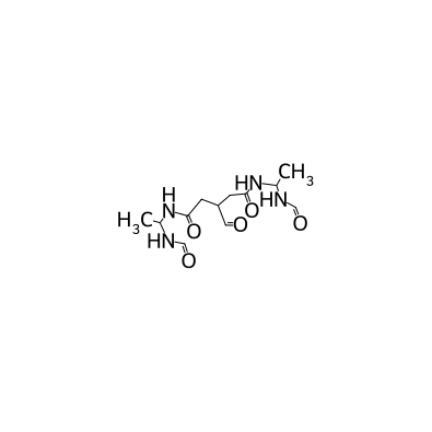 CC(NC=O)NC(=O)CC(C=O)CC(=O)NC(C)NC=O